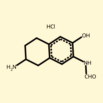 Cl.NC1CCc2cc(O)c(NC=O)cc2C1